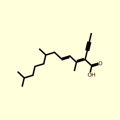 CC#CC(C(=O)O)=C(C)C=CCC(C)CCCC(C)C